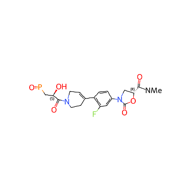 CNC(=O)[C@H]1CN(c2ccc(C3=CCN(C(=O)[C@H](O)CP=O)CC3)c(F)c2)C(=O)O1